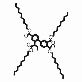 CCCCCCCCCCOC(=O)c1ccc(-c2ccc(C(=O)OCCCCCCCCCC)c(C(=O)OCCCCCCCCCC)c2)c(C(CC)C(=O)OCCCCCCCCCC)c1